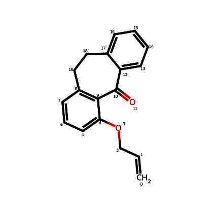 C=CCOc1cccc2c1C(=O)c1ccccc1CC2